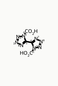 O=C(O)n1nnnc1-c1nnnn1C(=O)O